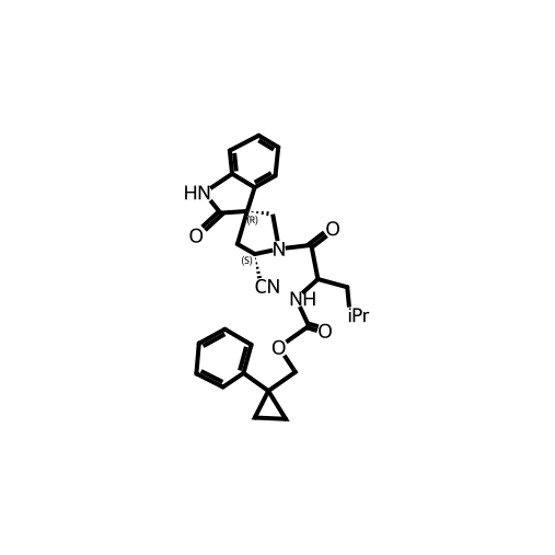 CC(C)CC(NC(=O)OCC1(c2ccccc2)CC1)C(=O)N1C[C@]2(C[C@H]1C#N)C(=O)Nc1ccccc12